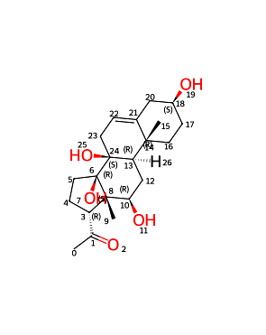 CC(=O)[C@@H]1CC[C@@]2(O)[C@]1(C)[C@H](O)C[C@@H]1[C@@]3(C)CC[C@H](O)CC3=CC[C@]12O